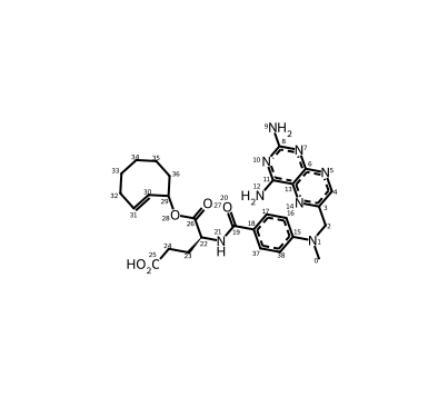 CN(Cc1cnc2nc(N)nc(N)c2n1)c1ccc(C(=O)N[C@@H](CCC(=O)O)C(=O)OC2/C=C/CCCCC2)cc1